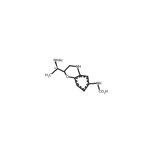 CC(=O)N[C@H](C)C1CNc2cc(NC(=O)O)ccc2O1